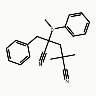 CN(c1ccccc1)C(C#N)(Cc1ccccc1)CC(C)(C)C#N